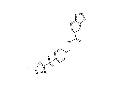 Cc1cn(C)c(S(=O)(=O)c2ccc(CNC(=O)c3ccc4nccn4c3)cc2)n1